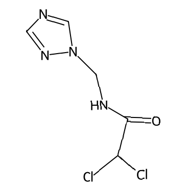 O=C(NCn1cncn1)C(Cl)Cl